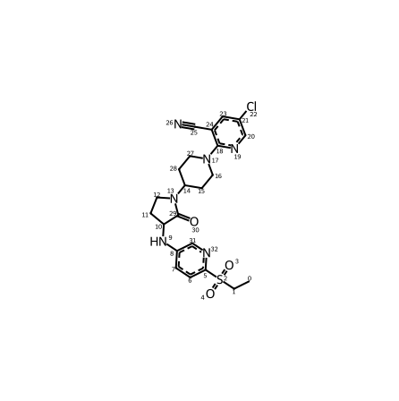 CCS(=O)(=O)c1ccc(NC2CCN(C3CCN(c4ncc(Cl)cc4C#N)CC3)C2=O)cn1